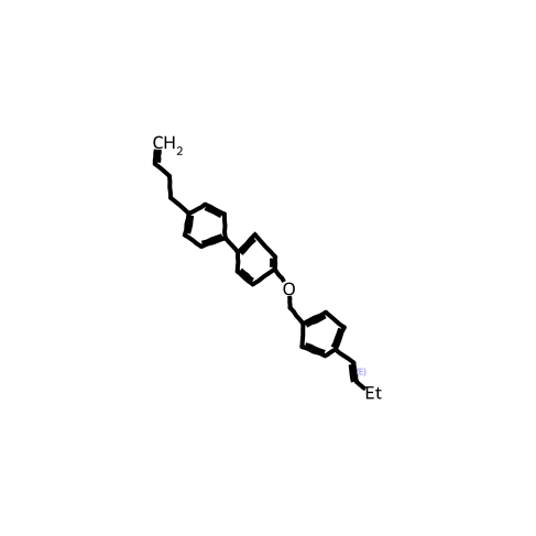 C=CCCc1ccc(-c2ccc(OCc3ccc(/C=C/CC)cc3)cc2)cc1